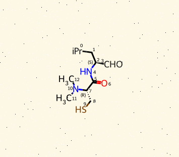 CC(C)C[C@@H](C=O)NC(=O)[C@H](CS)N(C)C